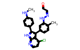 CNc1ccc(-c2[nH]c3nccc(Cl)c3c2-c2ccc(C)c(N/N=C\C=O)c2)cc1